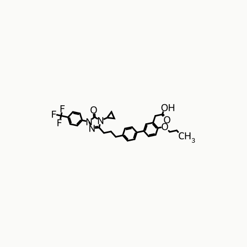 CCCOc1ccc(-c2ccc(CCCc3nn(-c4ccc(C(F)(F)F)cc4)c(=O)n3C3CC3)cc2)cc1CC(=O)O